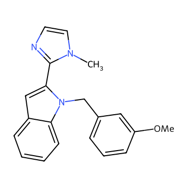 COc1cccc(Cn2c(-c3nccn3C)cc3ccccc32)c1